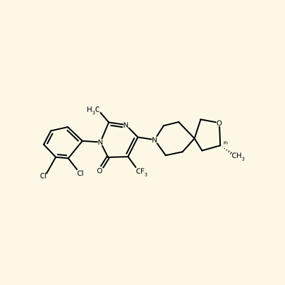 Cc1nc(N2CCC3(CC2)CO[C@H](C)C3)c(C(F)(F)F)c(=O)n1-c1cccc(Cl)c1Cl